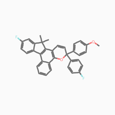 COc1ccc(C2(c3ccc(F)cc3)C=Cc3c4c(c5ccccc5c3O2)-c2ccc(F)cc2C4(C)C)cc1